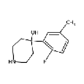 Cc1ccc(F)c(C2(O)CCNCC2)c1